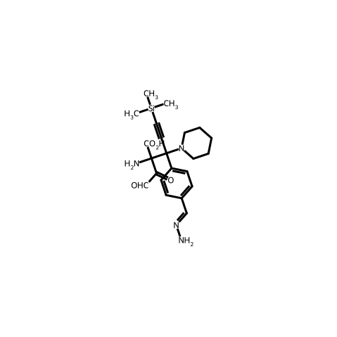 C[Si](C)(C)C#CC(c1ccc(C=NN)cc1)(N1CCCCC1)C(N)(C(=O)O)C(=O)C=O